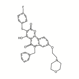 O=c1oc2c(c(O)c1Sc1ccc(F)cc1)c(=O)n(Cc1ccccc1)c1cc(OCCN3CCOCC3)ccc21